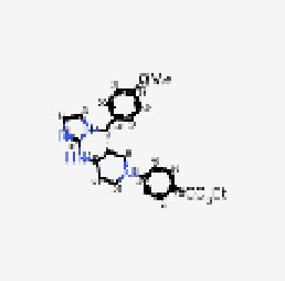 CCOC(=O)c1ccc(N2CCC(NC3=NCCN3Cc3ccc(OC)cc3)CC2)cc1